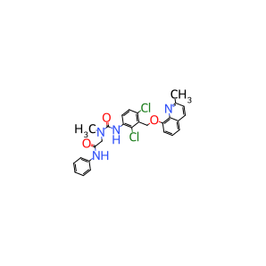 Cc1ccc2cccc(OCc3c(Cl)ccc(NC(=O)N(C)CC(=O)Nc4ccccc4)c3Cl)c2n1